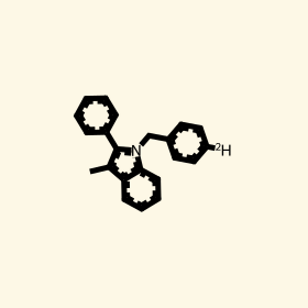 [2H]c1ccc(Cn2c(-c3ccccc3)c(C)c3ccccc32)cc1